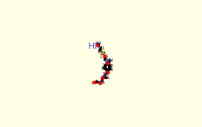 C=C\C=C/C=C(C)/C=C/c1ccc(N(C)CCSSCCNC)cc1